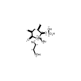 C=C(C)C(=O)OC.C=CC(=O)OCCCC.CCCCCCCCCCC[CH2][Na].O=S(=O)(O)O